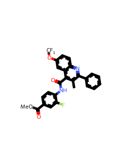 COC(=O)c1ccc(NC(=O)c2c(C)c(-c3ccccc3)nc3ccc(OC(F)(F)F)cc23)c(F)c1